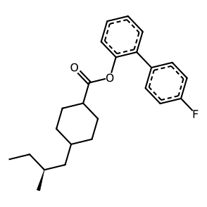 CC[C@H](C)CC1CCC(C(=O)Oc2ccccc2-c2ccc(F)cc2)CC1